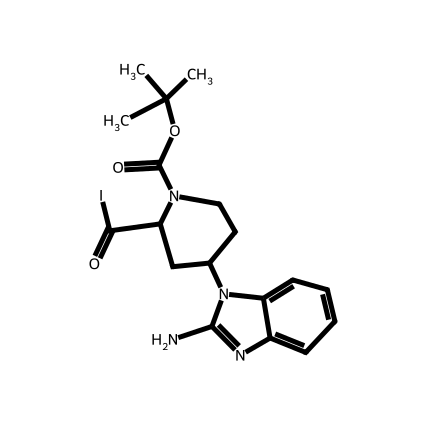 CC(C)(C)OC(=O)N1CCC(n2c(N)nc3ccccc32)CC1C(=O)I